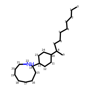 CCCCCCCCC(C)C1CCC(C2CCCCCCCN2)CC1